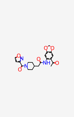 CC(=O)c1cc2c(cc1NC(=O)CC1CCN(C(=O)c3ccon3)CC1)OCO2